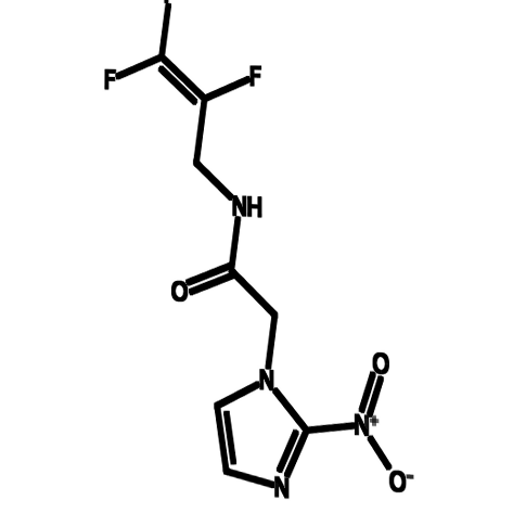 O=C(Cn1ccnc1[N+](=O)[O-])NCC(F)=C(F)F